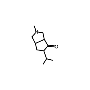 CC(C)C1CC2CN(C)CC2C1=O